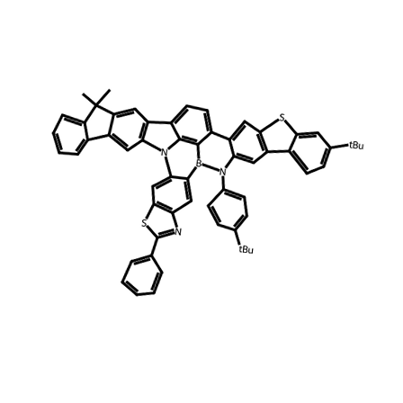 CC(C)(C)c1ccc(N2B3c4cc5nc(-c6ccccc6)sc5cc4-n4c5cc6c(cc5c5ccc(c3c54)-c3cc4sc5cc(C(C)(C)C)ccc5c4cc32)C(C)(C)c2ccccc2-6)cc1